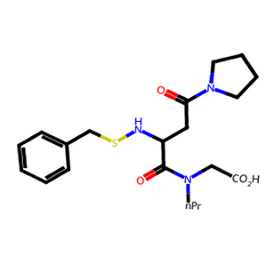 CCCN(CC(=O)O)C(=O)C(CC(=O)N1CCCC1)NSCc1ccccc1